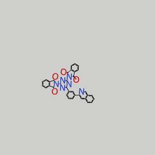 O=C1c2ccccc2C(=O)N1c1nc(-c2cccc(-c3cc4ccccc4cn3)c2)nc(N2C(=O)c3ccccc3C2=O)n1